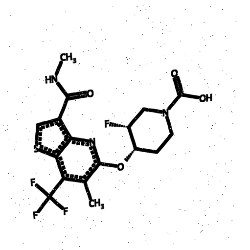 CNC(=O)c1csc2c(C(F)(F)F)c(C)c(O[C@H]3CCN(C(=O)O)C[C@H]3F)nc12